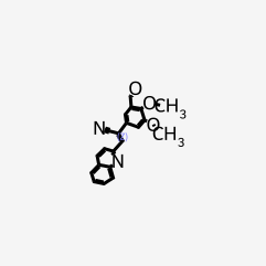 COc1cc(/C(C#N)=C/c2ccc3ccccc3n2)cc(C=O)c1OC